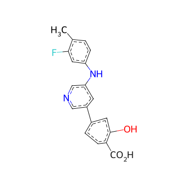 Cc1ccc(Nc2cncc(-c3ccc(C(=O)O)c(O)c3)c2)cc1F